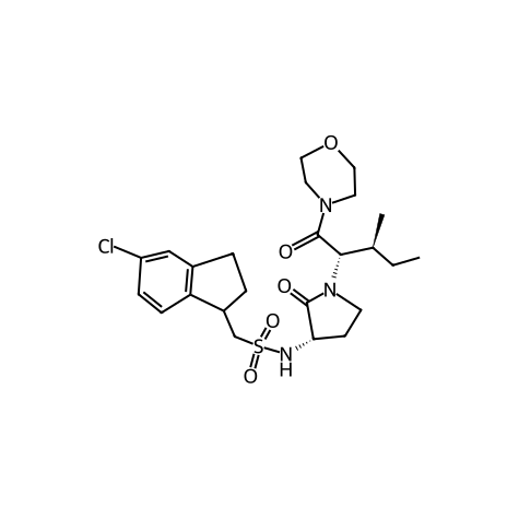 CC[C@H](C)[C@@H](C(=O)N1CCOCC1)N1CC[C@H](NS(=O)(=O)CC2CCc3cc(Cl)ccc32)C1=O